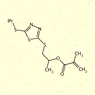 C=C(C)C(=O)OC(C)CSc1nnc(SC(C)C)s1